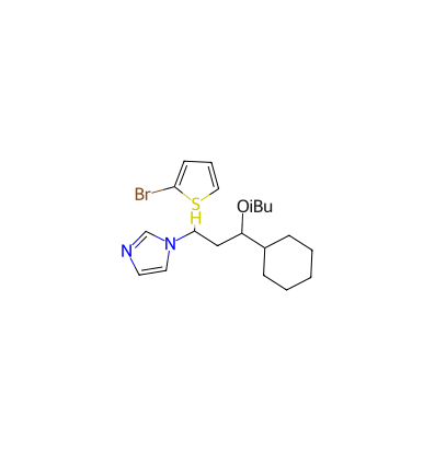 C[C](C)COC(CC(n1ccnc1)[SH]1C=CC=C1Br)C1CCCCC1